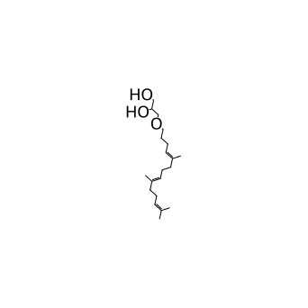 CC(C)=CCCC(C)=CCCC(C)=CCCCOCC(O)CO